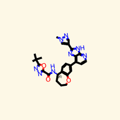 Cn1cc(-c2nc3c(-c4ccc5c(c4)OCCC[C@H]5NC(=O)c4nnc(C(C)(C)C)o4)ccnc3[nH]2)cn1